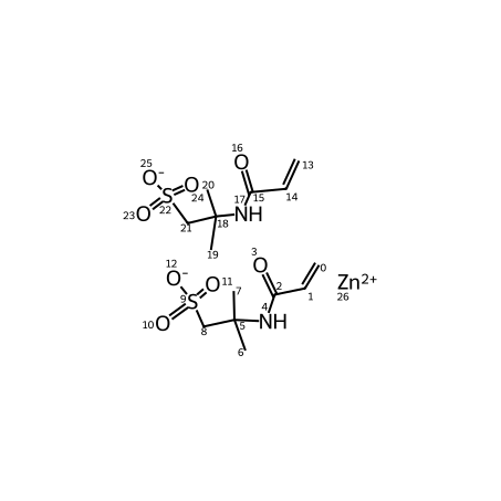 C=CC(=O)NC(C)(C)CS(=O)(=O)[O-].C=CC(=O)NC(C)(C)CS(=O)(=O)[O-].[Zn+2]